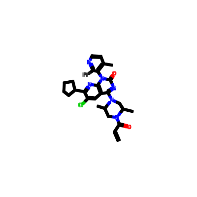 C=CC(=O)N1CC(C)N(c2nc(=O)n(-c3c(C)ccnc3C(C)C)c3nc(C4CCCC4)c(Cl)cc23)CC1C